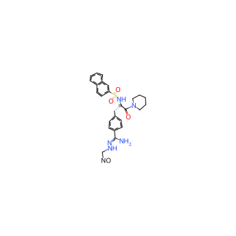 NC(=NNCN=O)c1ccc(C[C@H](NS(=O)(=O)c2ccc3ccccc3c2)C(=O)N2CCCCC2)cc1